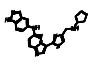 c1cc2[nH]ncc2cc1Nc1ccc2ncc(-c3nc(CNC4CCCC4)cs3)n2n1